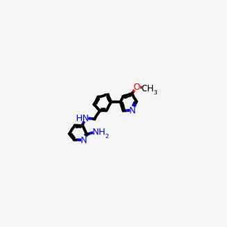 COc1cncc(-c2cccc(CNc3cccnc3N)c2)c1